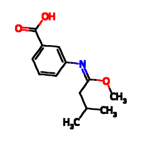 CO/C(CC(C)C)=N/c1cccc(C(=O)O)c1